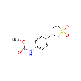 CC(C)(C)OC(=O)Nc1ccc(C2CCS(=O)(=O)C2)cc1